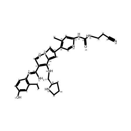 CCc1cc(O)ccc1/N=C(\N)c1cnn2cc(-c3cnc(NC(=O)NCCC#N)cc3C)cc2c1NC[C@H]1CCCN1